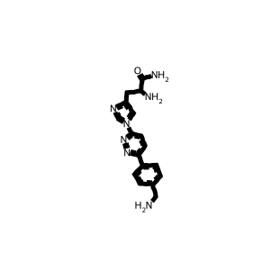 NCc1ccc(-c2ccc(-n3cnc(CC(N)C(N)=O)c3)nn2)cc1